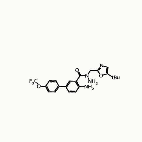 CC(C)(C)c1cnc(CN(N)C(=O)c2cc(-c3ccc(OC(F)(F)F)cc3)ccc2N)o1